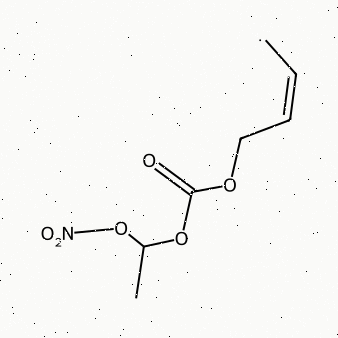 [CH2]/C=C\COC(=O)OC(C)O[N+](=O)[O-]